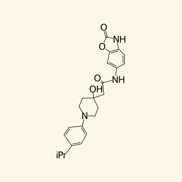 CC(C)c1ccc(N2CCC(O)(CC(=O)Nc3ccc4[nH]c(=O)oc4c3)CC2)cc1